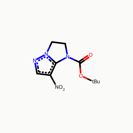 CC(C)(C)OC(=O)N1CCn2ncc([N+](=O)[O-])c21